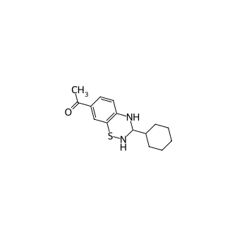 CC(=O)c1ccc2c(c1)SNC(C1CCCCC1)N2